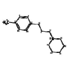 [CH2]c1ccc(CCCN2CCCCC2)cc1